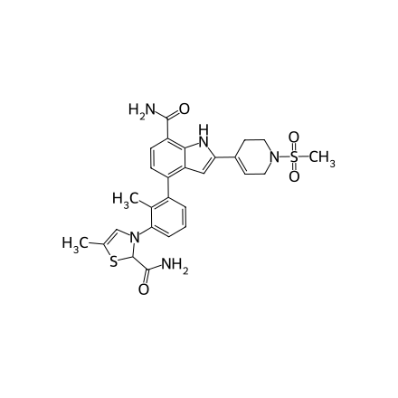 CC1=CN(c2cccc(-c3ccc(C(N)=O)c4[nH]c(C5=CCN(S(C)(=O)=O)CC5)cc34)c2C)C(C(N)=O)S1